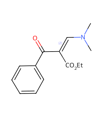 CCOC(=O)/C(=C\N(C)C)C(=O)c1ccccc1